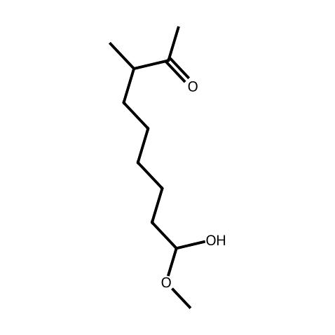 COC(O)CCCCCC(C)C(C)=O